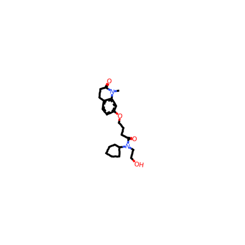 CN1C(=O)CCc2ccc(OCCCC(=O)N(CCO)C3CCCCC3)cc21